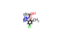 Cc1cc(Cl)ccc1OC(C(O)C(C)(C)C)n1cncn1